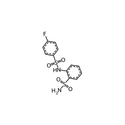 NS(=O)(=O)c1ccccc1NS(=O)(=O)c1ccc(F)cc1